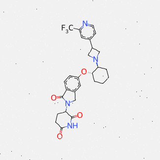 O=C1CCC(N2Cc3cc(O[C@H]4CCCC[C@@H]4N4CC(c5ccnc(C(F)(F)F)c5)C4)ccc3C2=O)C(=O)N1